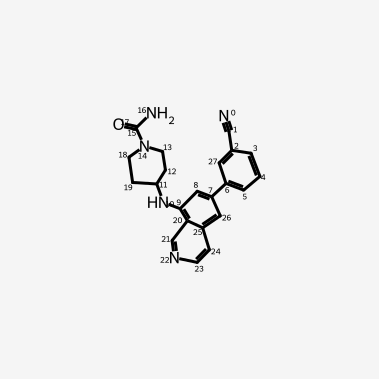 N#Cc1cccc(-c2cc(NC3CCN(C(N)=O)CC3)c3cnccc3c2)c1